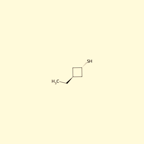 CC[C@H]1C[C@H](S)C1